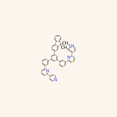 CC1(C)c2ccccc2-c2ccc(-c3cc(-c4cccc(-c5cccc(-c6ccncc6)n5)c4)cc(-c4cccc(-c5cccc(-c6ccncc6)n5)c4)c3)cc21